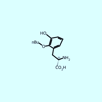 CCCCOc1c(O)cccc1C[C@H](N)C(=O)O